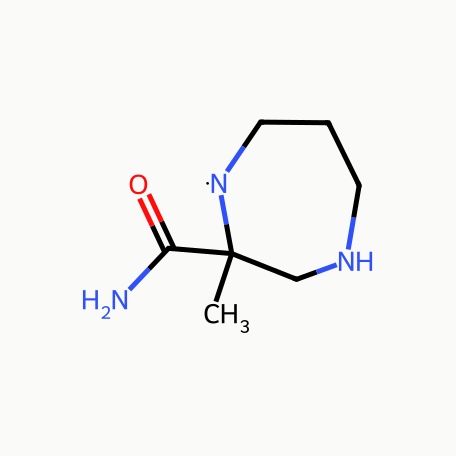 CC1(C(N)=O)CNCCC[N]1